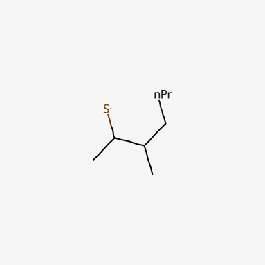 CCCCC(C)C(C)[S]